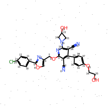 N#Cc1c(OCc2coc(-c3ccc(Cl)cc3)n2)nc(N2CC(O)C2)c(C#N)c1-c1ccc(OCCO)cc1